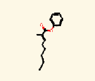 CCCCCC=C(C)C(=O)Oc1ccccc1